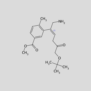 COC(=O)c1ccc(C)c(/C(=C\CC(=O)COC(C)(C)C)CN)c1